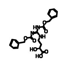 O=C(/N=C(\NCC[C@H](O)C(=O)O)NC(=O)OCc1ccccc1)OCc1ccccc1